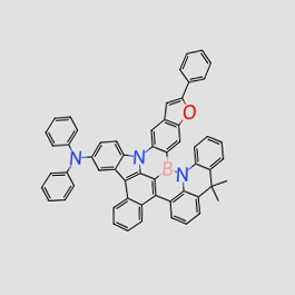 CC1(C)c2ccccc2N2B3c4cc5oc(-c6ccccc6)cc5cc4-n4c5ccc(N(c6ccccc6)c6ccccc6)cc5c5c6ccccc6c(c3c54)-c3cccc1c32